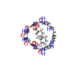 O=C1N[C@H]2COC[C@H]2NC(=O)c2ccc(n(OCc3ccccc3)c2=O)C(=O)NCCCNCCCCNCCCNC(=O)c2ccc1c(=O)n2OCc1ccccc1